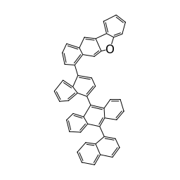 c1cc(-c2ccc(-c3c4ccccc4c(-c4cccc5ccccc45)c4ccccc34)c3ccccc23)c2cc3oc4ccccc4c3cc2c1